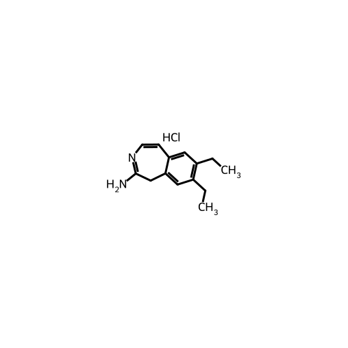 CCc1cc2c(cc1CC)CC(N)=NC=C2.Cl